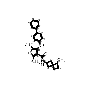 Cc1sc(C)c(C(=O)NC2CC3(CCC3C)C2)c1Nc1ccc(-c2ccccc2)cc1